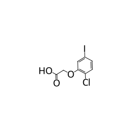 O=C(O)COc1cc(I)ccc1Cl